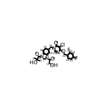 CC(C)(O)C(=O)N1CN(C(=O)CO)c2cc(Cn3cnc(OCc4ccc(F)cc4F)c(Cl)c3=O)ccc21